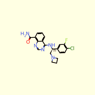 NC(=O)c1cccc2c(N[C@H](CN3CCC3)c3ccc(Cl)c(F)c3)ncnc12